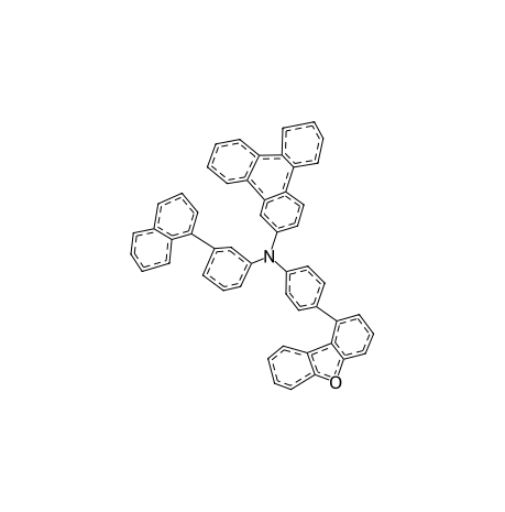 c1cc(-c2cccc3ccccc23)cc(N(c2ccc(-c3cccc4oc5ccccc5c34)cc2)c2ccc3c4ccccc4c4ccccc4c3c2)c1